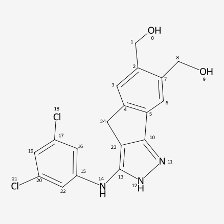 OCc1cc2c(cc1CO)-c1n[nH]c(Nc3cc(Cl)cc(Cl)c3)c1C2